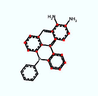 NC1CCC(=C\c2ccccc2P(c2ccccc2)c2ccccc2)/C(=C\c2ccccc2P(c2ccccc2)c2ccccc2)C1N